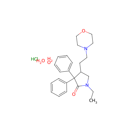 CCN1CC(CCN2CCOCC2)C(c2ccccc2)(c2ccccc2)C1=O.Cl.O.O